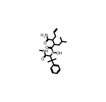 C=CCC(C(N)=O)C(CC(C)C)C(=O)N(O)C(C(=O)NC)C(C)(C)c1ccccc1